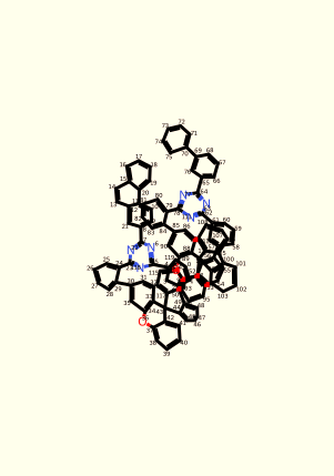 C1=CCCC(c2nc(-c3ccc4c(ccc5ccccc54)c3)nc(-c3ccccc3-c3ccc4c(c3)Oc3ccccc3C43c4ccccc4-c4c(-c5cccc(-c6cccc(-c7nc(-c8cccc(-c9ccccc9)c8)nc(-c8ccccc8-c8ccc9c(c8)Oc8ccccc8C98C9=C(C=CCC9)c9ccccc98)n7)c6)c5)cccc43)n2)=C1